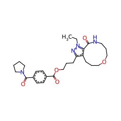 CCn1nc(CCCOC(=O)c2ccc(C(=O)N3CCCC3)cc2)c2c1C(=O)NCCCOCCC2